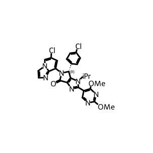 COc1ncc(-c2nc3c(n2C(C)C)[C@@H](c2ccc(Cl)cc2)N(c2cc(Cl)cn4ccnc24)C3=O)c(OC)n1